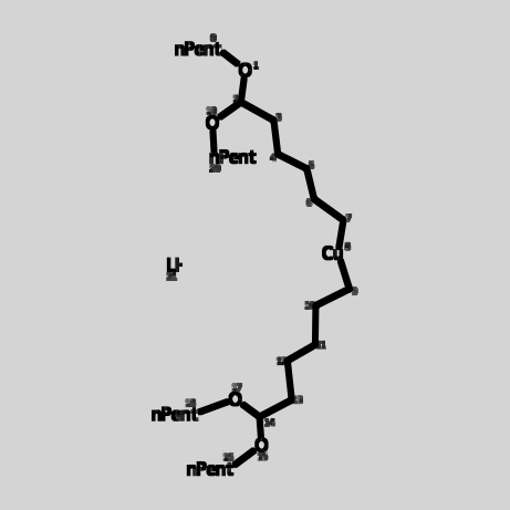 CCCCCOC(CCCC[CH2][Cu][CH2]CCCCC(OCCCCC)OCCCCC)OCCCCC.[Li]